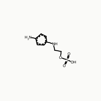 Nc1ccc(NCCOS(=O)(=O)O)cc1